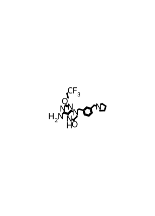 Nc1nc(OCCC(F)(F)F)nc2c1NC(=O)CN2Cc1cccc(CN2CCCC2)c1